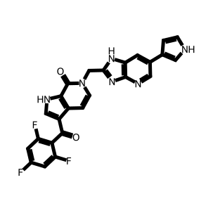 O=C(c1c(F)cc(F)cc1F)c1c[nH]c2c(=O)n(Cc3nc4ncc(-c5cc[nH]c5)cc4[nH]3)ccc12